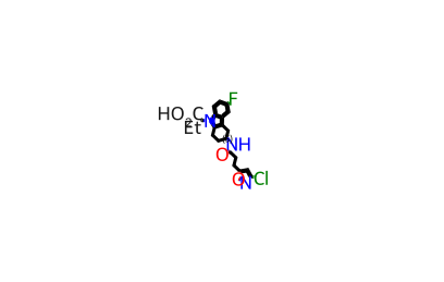 CCC(C(=O)O)n1c2c(c3cc(F)ccc31)C[C@@H](NC(=O)CCc1cc(Cl)no1)CC2